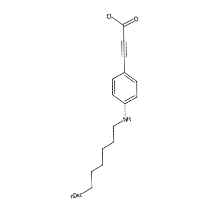 CCCCCCCCCCCCCCCCNc1ccc(C#CC(=O)Cl)cc1